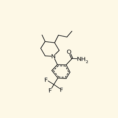 CCCC1CN(c2cc(C(F)(F)F)ccc2C(N)=O)CCC1C